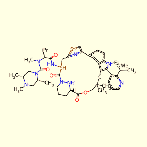 CCn1c(-c2cccnc2[C@H](C)OC)c2c3cc(ccc31)-c1csc(n1)C[SH](NC(=O)[C@H](C(C)C)N(C)C(=O)N1C[C@@H](C)N(C)C[C@H]1C)C(=O)N1CCC[C@H](N1)C(=O)OCC(C)(C)C2